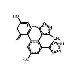 Cc1noc(C)c1-c1c(C2=CC=C(O)CC2=O)cc(C(F)(F)F)cc1-c1c[nH]nn1